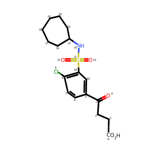 O=C(O)CCC(=O)c1ccc(Cl)c(S(=O)(=O)NC2CCCCCC2)c1